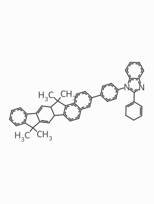 CC1(C)C2=CC3c4ccc5cc(-c6ccc(-n7c(C8=CCCC=C8)nc8ccccc87)cc6)ccc5c4C(C)(C)C3C=C2c2ccccc21